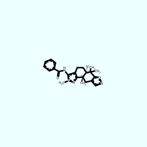 Cn1nc2c(c1NC(=O)c1ccccc1)CC[C@H]1C(C)(C)c3oncc3C[C@]21C